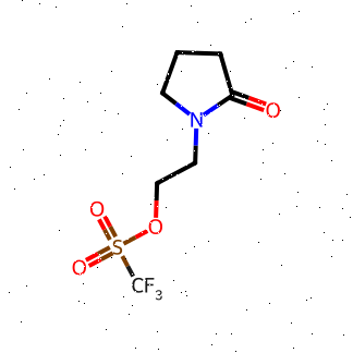 O=C1CCCN1CCOS(=O)(=O)C(F)(F)F